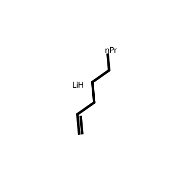 C=CCCCCCC.[LiH]